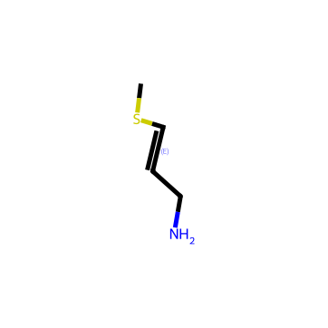 CS/C=C/CN